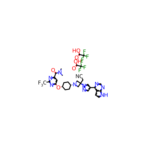 CN(C)C(=O)c1cc(O[C@H]2CC[C@@H](N3CC(CC#N)(n4cc(-c5ncnc6[nH]ccc56)cn4)C3)CC2)nc(C(F)(F)F)n1.O=C(O)C(F)(F)F.O=C(O)C(F)(F)F